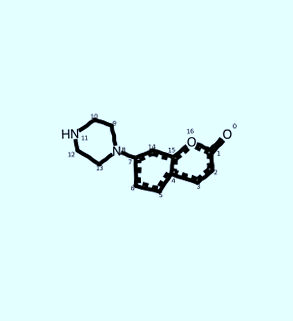 O=c1ccc2ccc(N3CCNCC3)cc2o1